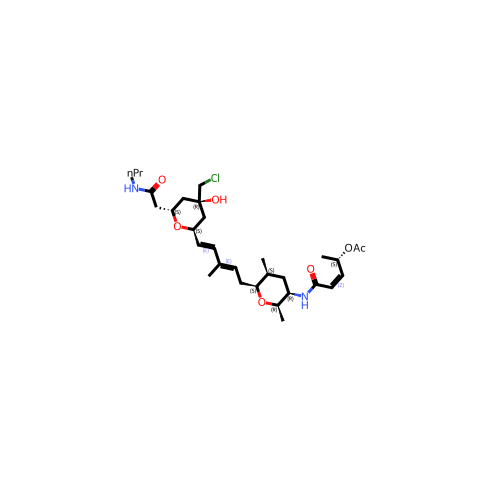 CCCNC(=O)C[C@@H]1C[C@](O)(CCl)C[C@@H](/C=C/C(C)=C/C[C@@H]2O[C@H](C)[C@H](NC(=O)/C=C\[C@H](C)OC(C)=O)C[C@@H]2C)O1